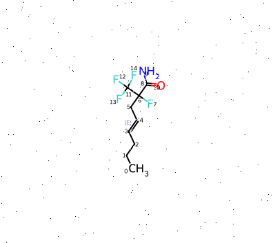 CCC/C=C/CC(F)(C(N)=O)C(F)(F)F